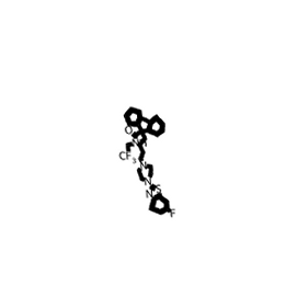 O=C(NCC(F)(F)F)C1(CCCCN2CCN(c3nc4ccc(F)cc4s3)CC2)c2ccccc2-c2ccccc21